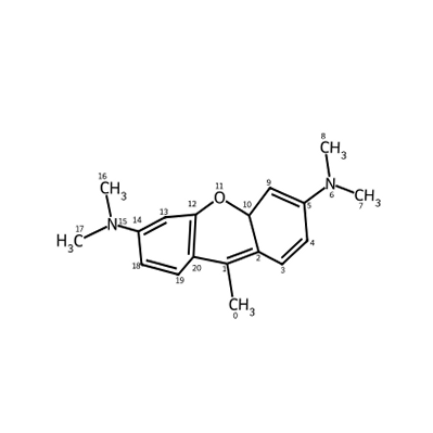 CC1=C2C=CC(N(C)C)=CC2Oc2cc(N(C)C)ccc21